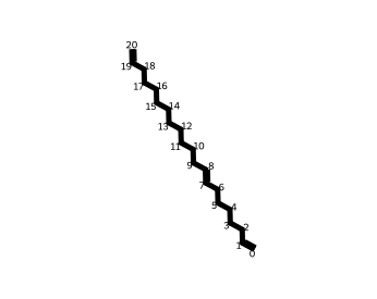 C=CCCCCCC=CCCCCCCCCCCC=C